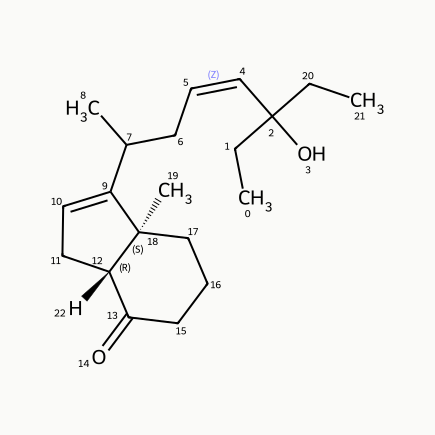 CCC(O)(/C=C\CC(C)C1=CC[C@H]2C(=O)CCC[C@]12C)CC